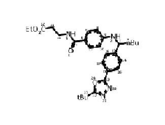 CCCCC(Nc1ccc(C(=O)NCCC(=O)OCC)cc1)c1ccc(-c2nnc(C(C)(C)C)o2)cc1